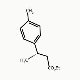 CCOC(=O)C[C@H](C)c1ccc(C)cc1